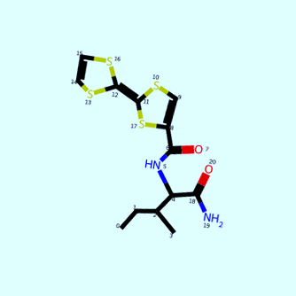 CCC(C)C(NC(=O)C1=CSC(=C2SC=CS2)S1)C(N)=O